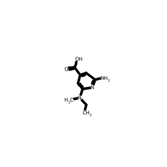 CCN(C)c1cc(C(=O)O)cc(N)n1